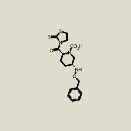 O=C([C@@H]1CC[C@@H](NOCc2ccccc2)CN1C(=O)O)N1CCSC1=S